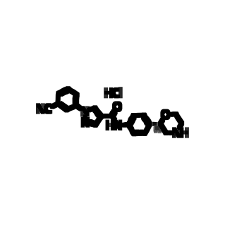 Cl.N#Cc1cccc(-n2cc(C(=O)Nc3ccc([C@H]4CNCCO4)cc3)cn2)c1